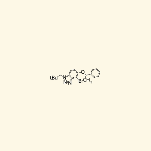 CC(Oc1ccc2c(nnn2CC(C)(C)C)c1Br)c1ccccc1